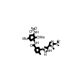 COc1c(NC(=O)c2ccc(C)c(N3C=C(C4CN=C([S+](C)[O-])N4C)NN3)c2)cc(C(C)(C)C)cc1NS(C)(=O)=O